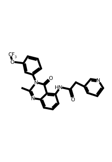 Cc1nc2cccc(NC(=O)Cc3cccnc3)c2c(=O)n1-c1cccc(OC(F)(F)F)c1